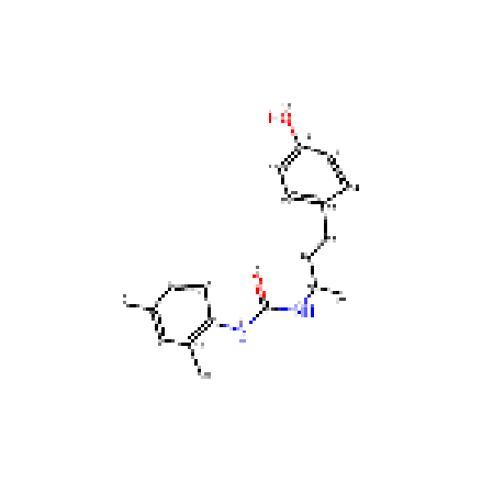 Cc1ccc(NC(=O)NC(C)CCc2ccc(O)cc2)c(C)c1